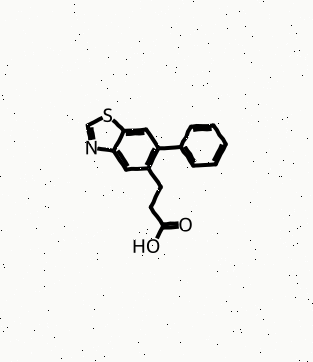 O=C(O)CCc1cc2ncsc2cc1-c1ccccc1